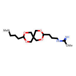 CNCCCC1OCC2(CO1)COC(CCCNC(=N)OC)OC2